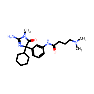 CN(C)CCCC(=O)Nc1cccc(C2(C3CCCCC3)N=C(N)N(C)C2=O)c1